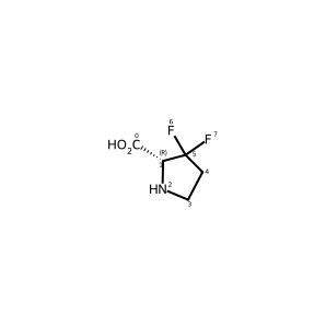 O=C(O)[C@H]1NCCC1(F)F